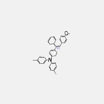 COc1ccc(/C=C(/C2=CC=C(N(c3ccc(C)cc3)c3ccc(C)cc3)CC2)C2C=CC=CC2)cc1